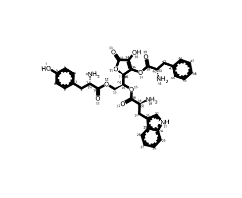 N[C@@H](Cc1ccc(O)cc1)C(=O)OC[C@H](OC(=O)[C@@H](N)Cc1c[nH]c2ccccc12)[C@H]1OC(=O)C(O)=C1OC(=O)[C@@H](N)Cc1ccccc1